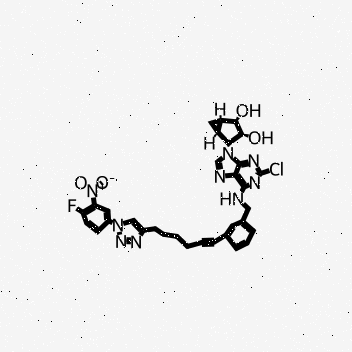 O=[N+]([O-])c1cc(-n2cc(CCCCC#Cc3cccc(CNc4nc(Cl)nc5c4ncn5[C@H]4[C@H](O)[C@H](O)[C@@H]5C[C@@H]54)c3)nn2)ccc1F